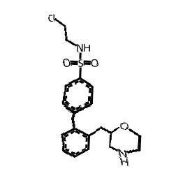 O=S(=O)(NCCCl)c1ccc(-c2ccccc2CC2CNCCO2)cc1